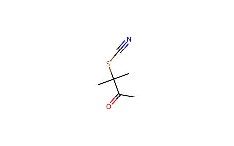 CC(=O)C(C)(C)SC#N